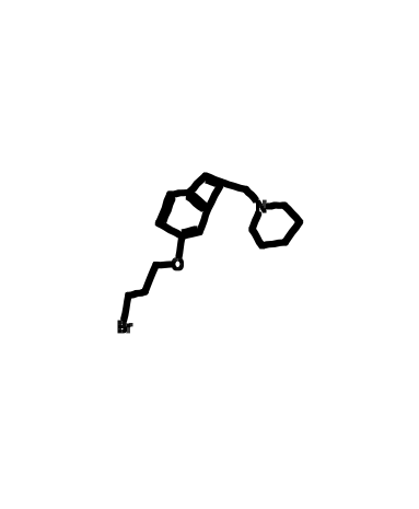 BrCCCOc1ccc2c(c1)C(CN1CCCCC1)=C2